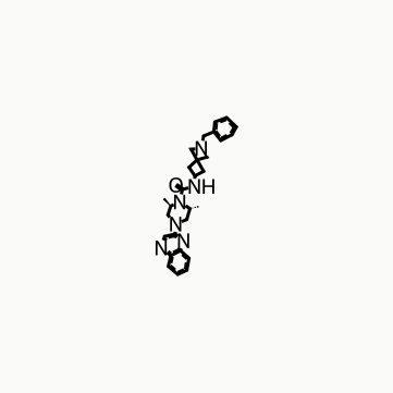 C[C@@H]1CN(c2cnc3ccccc3n2)C[C@@H](C)N1C(=O)NC1CC2(C1)CN(Cc1ccccc1)C2